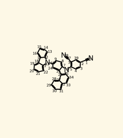 N#Cc1ccc(-n2c3ccc(-n4c5ccccc5c5ccccc54)cc3c3c4ccccc4ccc32)c(C#N)c1